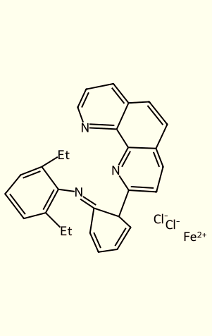 CCc1cccc(CC)c1N=C1C=CC=CC1c1ccc2ccc3cccnc3c2n1.[Cl-].[Cl-].[Fe+2]